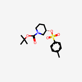 Cc1ccc(S(=O)(=O)O[C@H]2CCCN(C(=O)OC(C)(C)C)C2)cc1